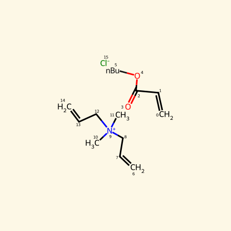 C=CC(=O)OCCCC.C=CC[N+](C)(C)CC=C.[Cl-]